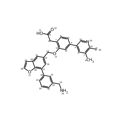 Cc1cc(-c2ccc(CC(=O)O)c(OCc3cc(-c4cccc(CN)c4)c4occc4c3)c2)cnc1F